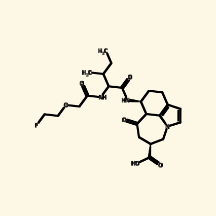 CCC(C)C(NC(=O)COCCF)C(=O)N[C@H]1CCc2ccn3c2C1C(=O)C[C@H](C(=O)O)C3